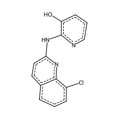 Oc1cccnc1Nc1ccc2cccc(Cl)c2n1